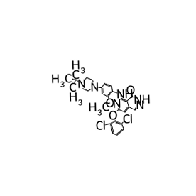 COc1cc(N2CCN(C(C)(C)C)CC2)ccc1Nc1nc(Oc2c(Cl)cccc2Cl)cc2cn[nH]c(=O)c12